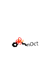 CCCCCCCCCCCCO[PH](=O)Oc1ccccc1